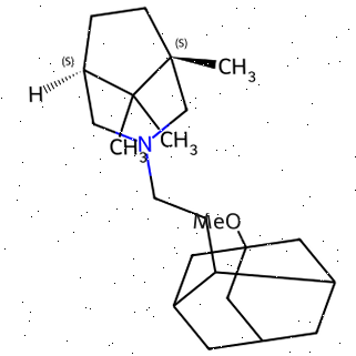 COC12CC3CC(C1)C(CCN1C[C@H]4CC[C@](C)(C1)C4(C)C)C(C3)C2